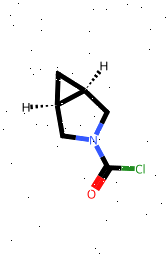 O=C(Cl)N1C[C@H]2C[C@H]2C1